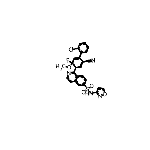 COC1(F)C=C(c2ccccc2Cl)C(C#N)=CC1c1nccc2cc(S(=O)(=O)Nc3ccon3)ccc12